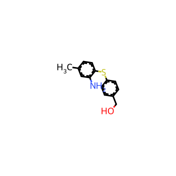 Cc1ccc(Sc2ccc(CO)cc2)c(N)c1